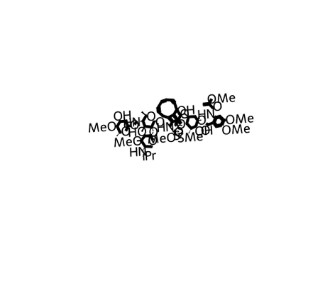 C=C(OC)C(=O)Nc1cc(OC)c(OC)cc1C(=O)O[C@H]1C[C@H](O[C@@H]2C(=O)C(NC(=O)OC)=C3/C(=C\CSSSC)[C@]2(O)C#C/C=C\C#C[C@@H]3O[C@@H]2O[C@H](C)[C@@H](NOC3C[C@H](O)[C@H](OC)[C@@H](C)O3)[C@H](O)[C@H]2O[C@H]2C[C@H](OC)[C@@H](NC(C)C)CO2)C[C@@H](C)[C@@H]1O